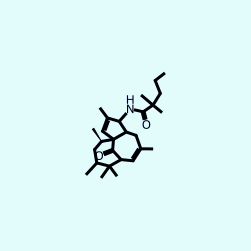 CCCC(C)(C)C(=O)NC1C(C)=CC23C(=O)C(C=C(C)CC12)C(C)(C)C(C)C[C@H]3C